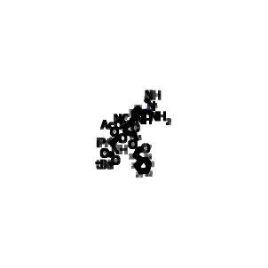 CC(=O)O[C@@H]1[C@H](OC(=O)[C@@H](NC(=O)OC(C)(C)C)C(C)C)[C@@H](COC(=O)Cc2ccccc2)O[C@@]1(C#N)c1ccc(/C(N)=N\C=N)[nH]1